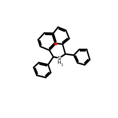 c1ccc(C([SiH2]C(c2ccccc2)c2ccccc2)c2ccccc2)cc1